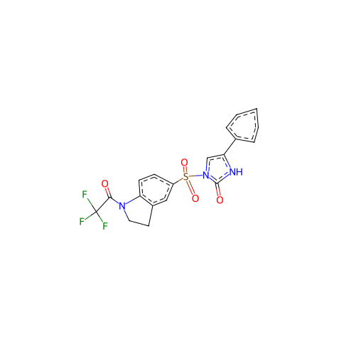 O=C(N1CCc2cc(S(=O)(=O)n3cc(-c4ccccc4)[nH]c3=O)ccc21)C(F)(F)F